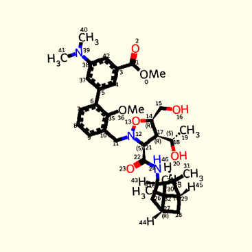 COC(=O)c1cc(-c2cccc(CN3O[C@@H](CO)[C@@H]([C@H](C)O)[C@H]3C(=O)N[C@H]3C[C@H]4C[C@@H]([C@@H]3C)C4(C)C)c2OC)cc(N(C)C)c1